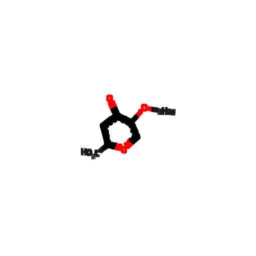 CCCCCCOc1coc(C(=O)O)cc1=O